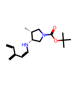 C=CC(=C)/C=C\N[C@H]1CN(C(=O)OC(C)(C)C)C[C@H]1C